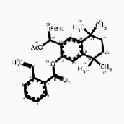 C=Cc1ccccc1C(=O)Oc1cc2c(cc1C(CCCCC)OC(C)=O)C(C)(C)CCC2(C)C